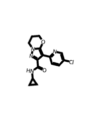 O=C(NC1CC1)c1nn2c(c1-c1ccc(Cl)cn1)OCCC2